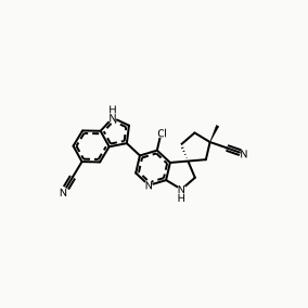 C[C@]1(C#N)CC[C@@]2(CNc3ncc(-c4c[nH]c5ccc(C#N)cc45)c(Cl)c32)C1